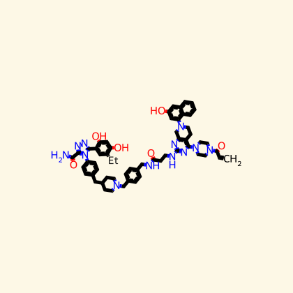 C=CC(=O)N1CCN(c2nc(NCCC(=O)NCc3ccc(CN4CCC(Cc5ccc(-n6c(C(N)=O)nnc6-c6cc(CC)c(O)cc6O)cc5)CC4)cc3)nc3c2CCN(c2cc(O)cc4ccccc24)C3)CC1